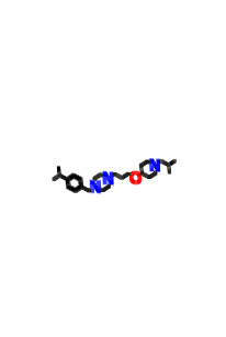 CC(C)CN1CCC(OCCCN2CCN(Cc3ccc(C(C)C)cc3)CC2)CC1